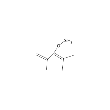 C=C(C)C(O[SiH3])=C(C)C